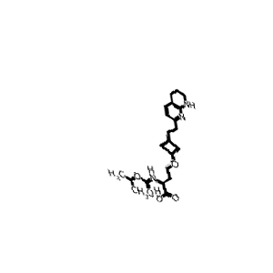 CC(C)OC(=O)N[C@@H](CCOC1CC(CCc2ccc3c(n2)NCCC3)C1)C(=O)O